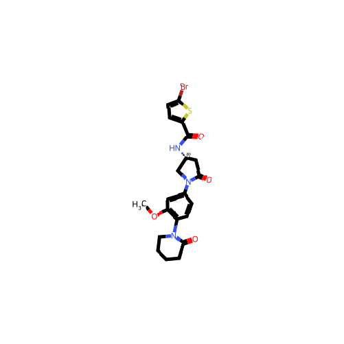 COc1cc(N2C[C@H](NC(=O)c3ccc(Br)s3)CC2=O)ccc1N1CCCCC1=O